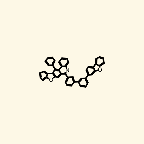 c1ccc(-c2c3c(cc4c(-c5cccc(-c6cccc(-c7ccc8c(c7)oc7ccccc78)c6)c5)nc5ccccc5c24)oc2ccccc23)cc1